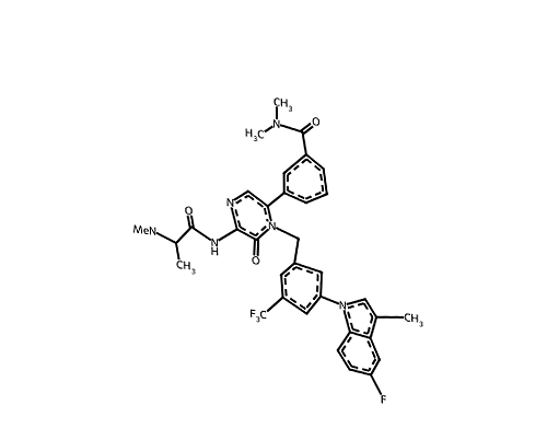 CNC(C)C(=O)Nc1ncc(-c2cccc(C(=O)N(C)C)c2)n(Cc2cc(-n3cc(C)c4cc(F)ccc43)cc(C(F)(F)F)c2)c1=O